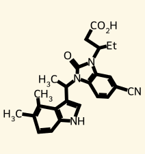 CCC(CC(=O)O)n1c(=O)n(C(C)c2c[nH]c3ccc(C)c(C)c23)c2ccc(C#N)cc21